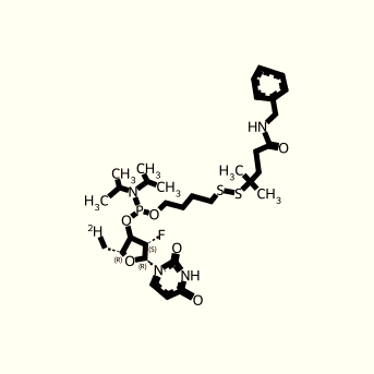 [2H]C[C@H]1O[C@@H](n2ccc(=O)[nH]c2=O)[C@@H](F)C1OP(OCCCCSSC(C)(C)CCC(=O)NCc1ccccc1)N(C(C)C)C(C)C